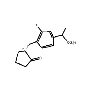 CC(C(=O)O)c1ccc(C[C@H]2CCCC2=O)c(F)c1